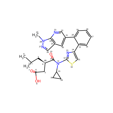 CC(C)C[C@H](CC(=O)O)C(=O)N(c1nc(-c2ccccc2-c2cnc3c(cnn3C)c2)cs1)C1CC1